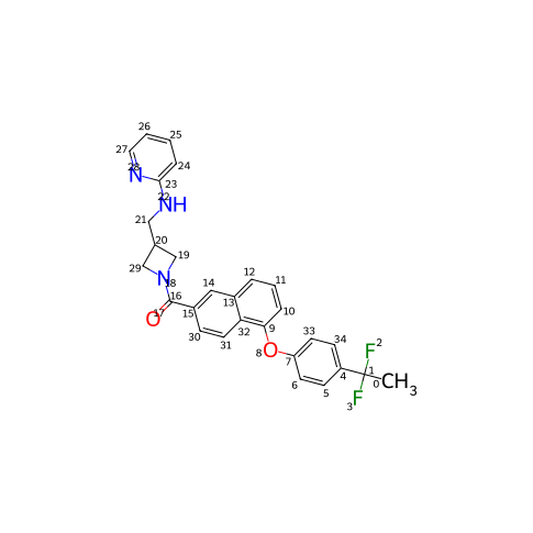 CC(F)(F)c1ccc(Oc2cccc3cc(C(=O)N4CC(CNc5ccccn5)C4)ccc23)cc1